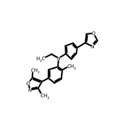 CCN(c1ccc(-c2cocn2)cc1)c1cc(-c2c(C)noc2C)ccc1C